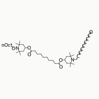 CCCCCCCCON1C(C)(C)CC(OC(=O)CCCCCCCCC(=O)OC2CC(C)(C)N(C=C=C=C=C=C=C=C=O)C(C)(C)C2)CC1(C)C